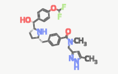 Cc1cc(CN(C)C(=O)c2ccc(C[C@@H]3CC[C@H]([C@H](O)c4ccc(OC(F)F)cc4)N3)cc2)n[nH]1